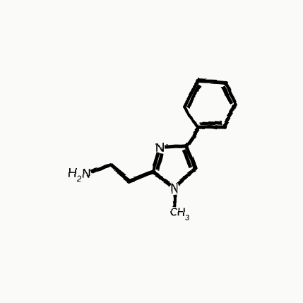 Cn1cc(-c2ccccc2)nc1CCN